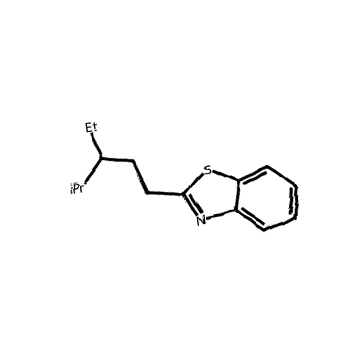 CCC(CCc1nc2ccccc2s1)C(C)C